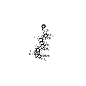 CC(=O)NC1[C@H](C)OC2COC(C)(C)O[C@H]2[C@@H]1O[C@@H]1OC(C)[C@H](C)[C@H](O[C@@H]2OC(C)[C@H](C)[C@H](C)C2O[C@@H]2OC(C)[C@H](C)[C@H](O[C@H]3O[C@@H](COCc4ccccc4)[C@@H](C)C(C)C3C)C2O)C1O